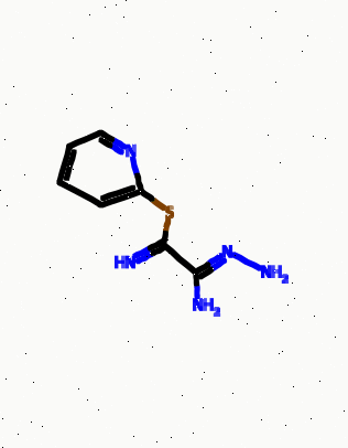 N=C(Sc1ccccn1)C(N)=NN